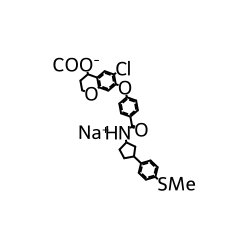 CSc1ccc(C2CCC(NC(=O)c3ccc(Oc4cc5c(cc4Cl)C(C(=O)[O-])CCO5)cc3)C2)cc1.[Na+]